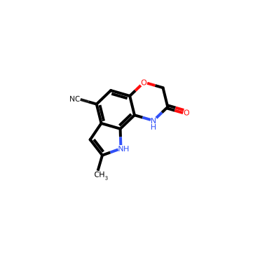 Cc1cc2c(C#N)cc3c(c2[nH]1)NC(=O)CO3